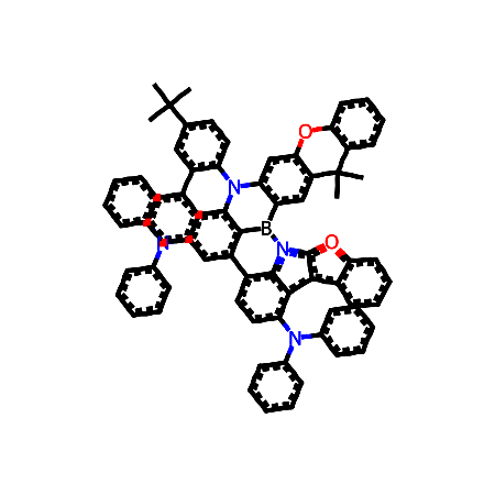 CC(C)(C)c1ccc(N2c3cc4c(cc3B3c5c(cc(N(c6ccccc6)c6ccccc6)cc52)-c2ccc(N(c5ccccc5)c5ccccc5)c5c6c7ccccc7oc6n3c25)C(C)(C)c2ccccc2O4)c(-c2ccccc2)c1